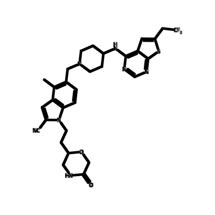 Cc1c(CN2CCC(Nc3ncnc4sc(CC(F)(F)F)cc34)CC2)ccc2c1cc(C#N)n2CCC1CNC(=O)CO1